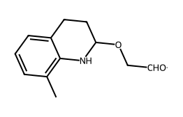 Cc1cccc2c1NC(OC[C]=O)CC2